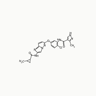 Cc1n[nH]cc1C(=O)Nc1cc(Oc2ccc3nc(NC(=O)C4CC4C)cn3n2)ccc1Cl